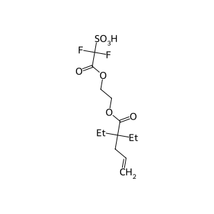 C=CCC(CC)(CC)C(=O)OCCOC(=O)C(F)(F)S(=O)(=O)O